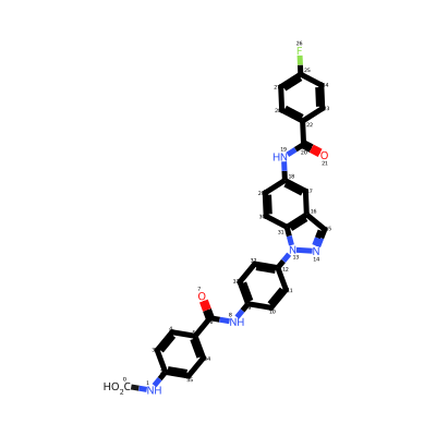 O=C(O)Nc1ccc(C(=O)Nc2ccc(-n3ncc4cc(NC(=O)c5ccc(F)cc5)ccc43)cc2)cc1